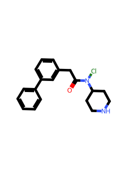 O=C(Cc1cccc(-c2ccccc2)c1)N(Cl)C1CCNCC1